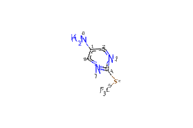 Nc1cnc(SC(F)(F)F)nc1